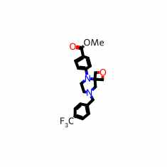 COC(=O)c1ccc(N2CCN(Cc3ccc(C(F)(F)F)cc3)CC23COC3)cc1